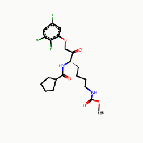 CC(C)(C)OC(=O)NCCCC[C@H](NC(=O)C1CCCC1)C(=O)COc1cc(F)cc(F)c1F